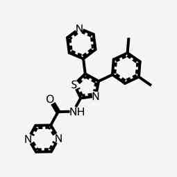 Cc1cc(C)cc(-c2nc(NC(=O)c3cnccn3)sc2-c2ccncc2)c1